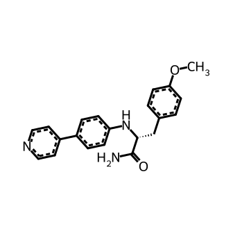 COc1ccc(C[C@@H](Nc2ccc(-c3ccncc3)cc2)C(N)=O)cc1